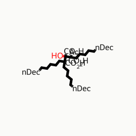 CCCCCCCCCCCCCCCC(CCCCCCCCCCCCCCC)(C(=O)O)C(O)(C(=O)O)C(CCCCCCCCCCCCCCC)(C(C)=O)C(=O)O